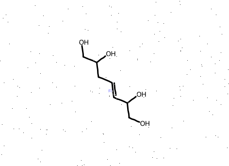 OCC(O)/C=C/CC(O)CO